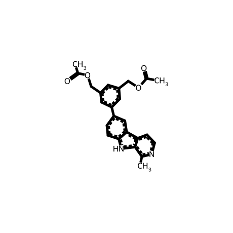 CC(=O)OCc1cc(COC(C)=O)cc(-c2ccc3[nH]c4c(C)nccc4c3c2)c1